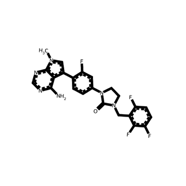 Cn1cc(-c2ccc(N3CCN(Cc4c(F)ccc(F)c4F)C3=O)cc2F)c2c(N)ncnc21